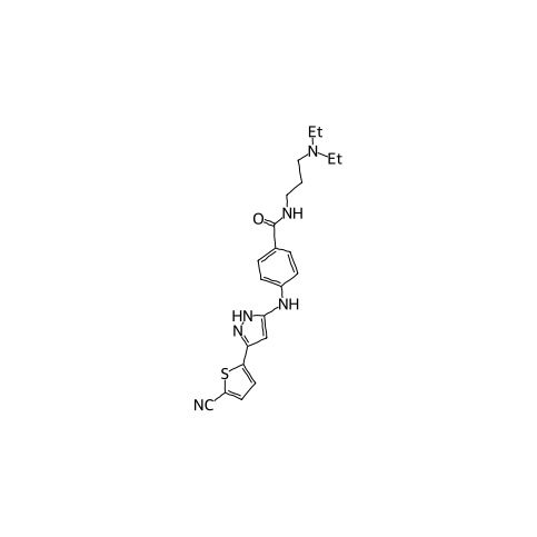 CCN(CC)CCCNC(=O)c1ccc(Nc2cc(-c3ccc(C#N)s3)n[nH]2)cc1